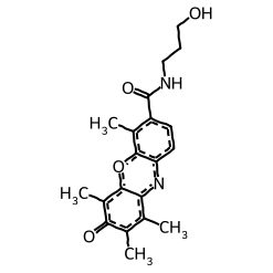 Cc1c2nc3ccc(C(=O)NCCCO)c(C)c3oc-2c(C)c(=O)c1C